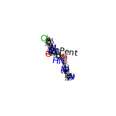 CCCCCn1c(-c2ccc(C(=O)NCCCn3cc(-c4cccnc4)cn3)cc2)cc(=O)n2cc(-c3ccc(Cl)cc3)nc12